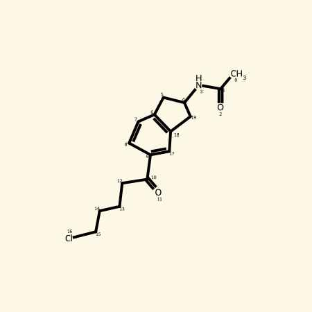 CC(=O)NC1Cc2ccc(C(=O)CCCCCl)cc2C1